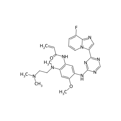 C=CC(=O)Nc1cc(Nc2ncnc(-c3cnc4c(F)cccn34)n2)c(OC)cc1N(C)CCN(C)C